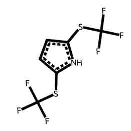 FC(F)(F)Sc1ccc(SC(F)(F)F)[nH]1